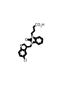 O=C(O)CCCn1c(=O)n(CC2CSc3ccc(Cl)cc32)c2ccccc21